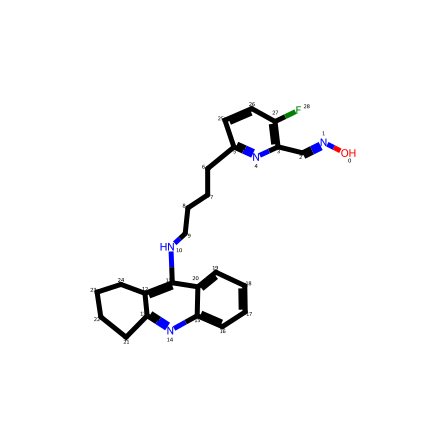 O/N=C/c1nc(CCCCNc2c3c(nc4ccccc24)CCCC3)ccc1F